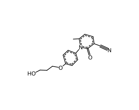 Cc1ccc(C#N)c(=O)n1-c1ccc(OCCCO)cc1